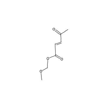 COCOC(=O)/C=C/C(C)=O